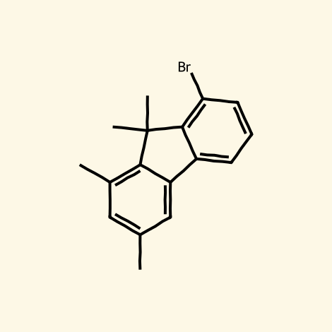 Cc1cc(C)c2c(c1)-c1cccc(Br)c1C2(C)C